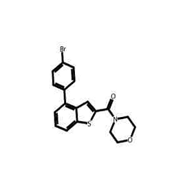 O=C(c1cc2c(-c3ccc(Br)cc3)cccc2s1)N1CCOCC1